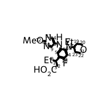 CCC(CC(=O)O)c1cc(Nc2cnc(OC)nc2)c(N(CC)C2CCOCC2)cc1F